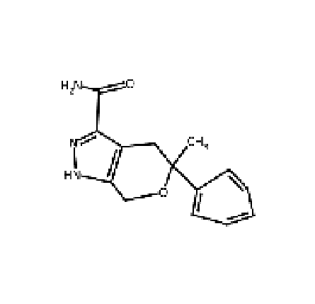 CC1(c2ccccc2)Cc2c(C(N)=O)n[nH]c2CO1